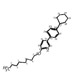 CCCCCCCCOc1ccc(-c2ccc(C3CCCCC3)cc2)cn1